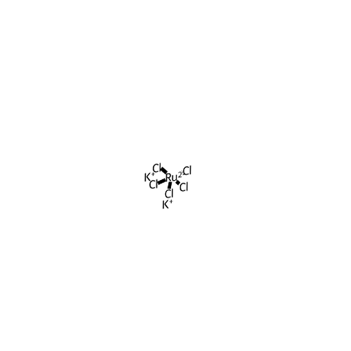 [Cl][Ru-2]([Cl])([Cl])([Cl])[Cl].[K+].[K+]